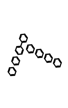 c1ccc(-c2ccccc2)cc1.c1ccccc1.c1ccccc1.c1ccccc1.c1ccccc1.c1ccccc1.c1ccccc1